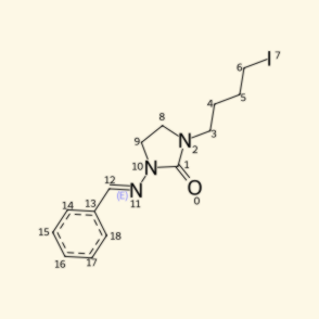 O=C1N(CCCCI)CCN1/N=C/c1ccccc1